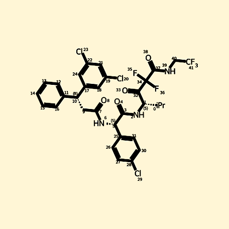 CC(C)[C@H](NC(=O)[C@@H](NC(=O)C[C@H](c1ccccc1)c1cc(Cl)cc(Cl)c1)c1ccc(Cl)cc1)C(=O)C(F)(F)C(=O)NCC(F)(F)F